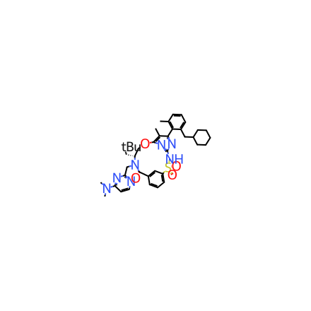 Cc1cccc(CC2CCCCC2)c1-c1nc2nc(c1C)OC[C@@H](CC(C)(C)C)N(Cc1nccc(N(C)C)n1)C(=O)c1cccc(c1)S(=O)(=O)N2